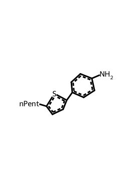 CCCCCc1ccc(-c2ccc(N)cc2)s1